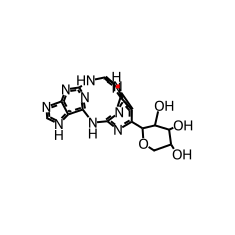 OC1COC(c2nc3nc4nc([nH]c24)Nc2nc(c4[nH]cnc4n2)N3)C(O)C1O